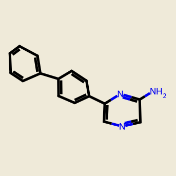 Nc1cncc(-c2ccc(-c3ccccc3)cc2)n1